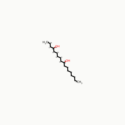 CCCCCCCCC(O)CCCCCC(O)CCC